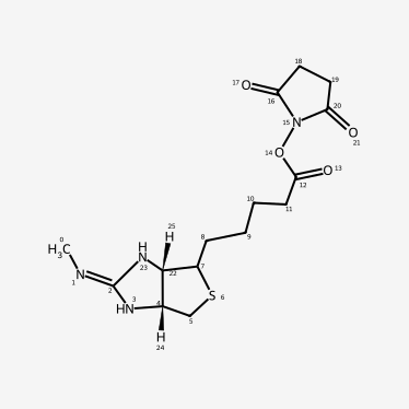 C/N=C1/N[C@H]2CSC(CCCCC(=O)ON3C(=O)CCC3=O)[C@H]2N1